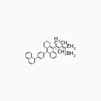 BC/C(C)=C(C)\C(C)=C(/C)c1c2c(c(-c3ccc(-c4cccc5ccccc45)cc3)c3ccccc13)C=CCC2